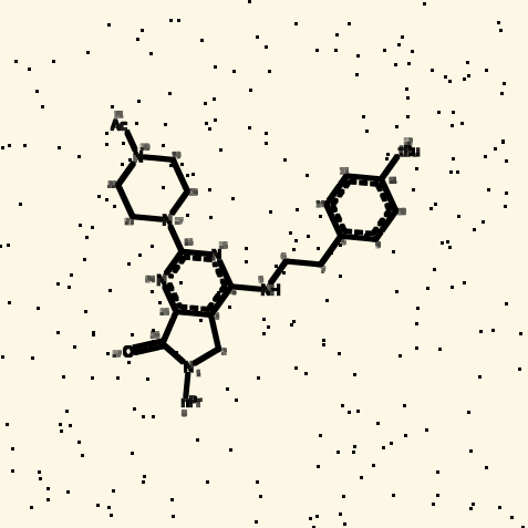 CCCN1Cc2c(NCCc3ccc(C(C)(C)C)cc3)nc(N3CCN(C(C)=O)CC3)nc2C1=O